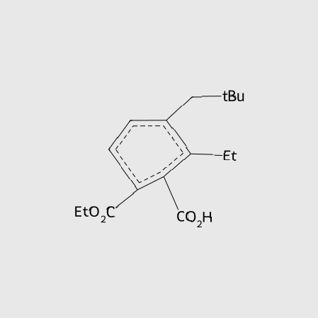 CCOC(=O)c1ccc(CC(C)(C)C)c(CC)c1C(=O)O